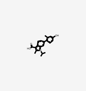 Cc1cc(O)ccc1-c1ccc2c(C(=O)O)c(C)n(C(C)C)c2c1